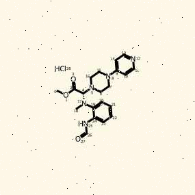 COC(=O)[C@H](N1CCN(c2ccncc2)CC1)N(C)c1ccccc1NC=O.Cl